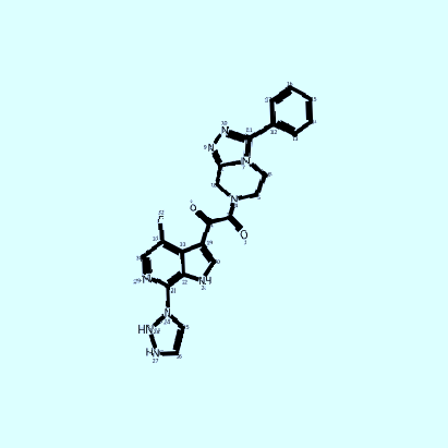 O=C(C(=O)N1CCn2c(nnc2-c2ccccc2)C1)c1c[nH]c2c(N3C=CNN3)ncc(F)c12